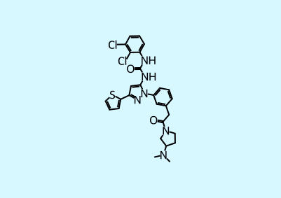 CN(C)C1CCN(C(=O)Cc2cccc(-n3nc(-c4cccs4)cc3NC(=O)Nc3cccc(Cl)c3Cl)c2)C1